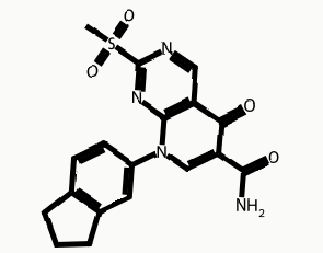 CS(=O)(=O)c1ncc2c(=O)c(C(N)=O)cn(-c3ccc4c(c3)CCC4)c2n1